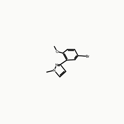 COc1ccc(Br)cc1-c1ccn(C)n1